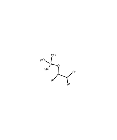 O[Si](O)(O)OC(Br)C(Br)Br